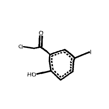 O=C(Cl)c1cc(I)ccc1O